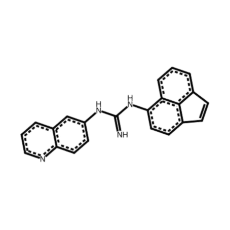 N=C(Nc1ccc2ncccc2c1)Nc1ccc2c3c(cccc13)C=C2